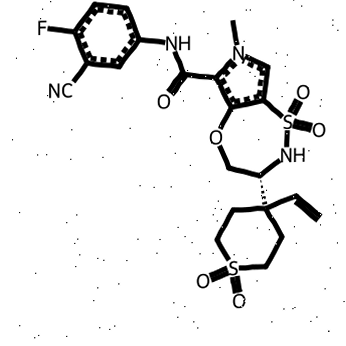 C=CC1([C@@H]2COc3c(cn(C)c3C(=O)Nc3ccc(F)c(C#N)c3)S(=O)(=O)N2)CCS(=O)(=O)CC1